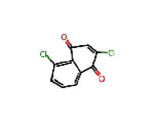 O=C1C(Cl)=CC(=O)c2c(Cl)cccc21